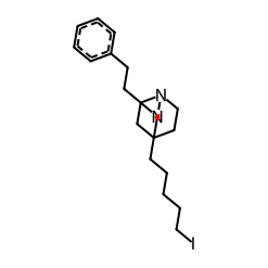 ICCCCCC12CCN(CC1)N(CCc1ccccc1)C2